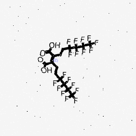 O=C(O)/C(CCC(F)(F)C(F)(F)C(F)(F)C(F)(F)F)=C(/CCC(F)(F)C(F)(F)C(F)(F)C(F)(F)F)C(=O)O